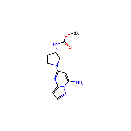 CC(C)(C)OC(=O)N[C@H]1CCN(c2cc(N)n3nccc3n2)C1